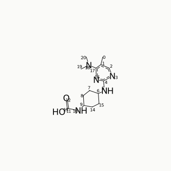 Cc1cnc(NC2CCC(NC(=O)O)CC2)nc1N(C)C